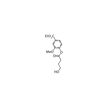 CCOC(=O)c1ccc(OC(=O)CCCO)c(OC)c1